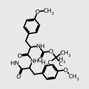 COc1ccc(CC(NC(=O)C(Cc2ccc(OC)cc2)NC(=O)OC(C)(C)C)C([NH])=O)cc1